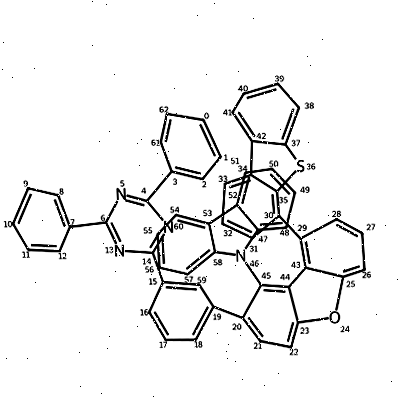 c1ccc(-c2nc(-c3ccccc3)nc(-c3cccc(-c4ccc5oc6cccc(-c7cccc8c7sc7ccccc78)c6c5c4-n4c5ccccc5c5ccccc54)c3)n2)cc1